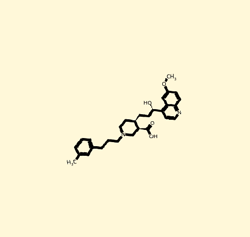 COc1ccc2nccc([C@@H](O)CC[C@@H]3CCN(CCCc4cccc(C)c4)C[C@@H]3C(=O)O)c2c1